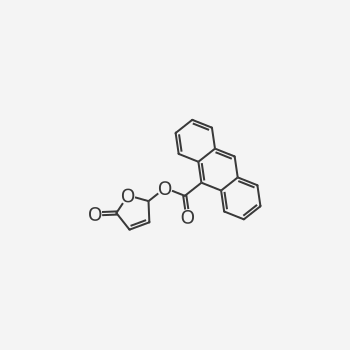 O=C1C=CC(OC(=O)c2c3ccccc3cc3ccccc23)O1